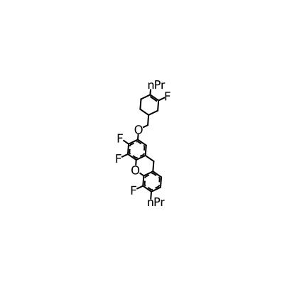 CCCC1=C(F)CC(COc2cc3c(c(F)c2F)Oc2c(ccc(CCC)c2F)C3)CC1